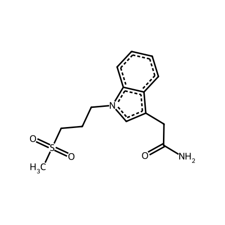 CS(=O)(=O)CCCn1cc(CC(N)=O)c2ccccc21